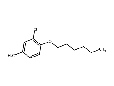 CCCCCCOc1ccc(C)cc1Cl